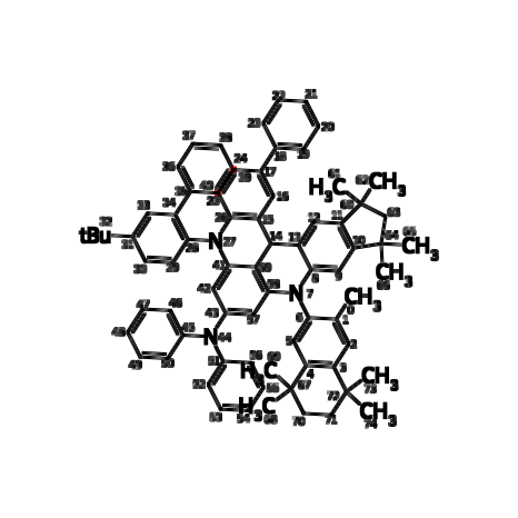 Cc1cc2c(cc1N1c3cc4c(cc3C3c5cc(-c6ccccc6)ccc5N(c5ccc(C(C)(C)C)cc5-c5ccccc5)c5cc(N(c6ccccc6)c6ccccc6)cc1c53)C(C)(C)CC4(C)C)C(C)(C)CCC2(C)C